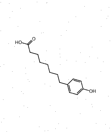 O=C(O)CCCCCCCc1ccc(O)cc1